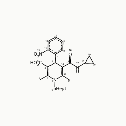 CCCCCCCN1C(C)=C(C(=O)O)C(c2ccccc2[N+](=O)[O-])C(C(=O)NC2CC2)=C1C